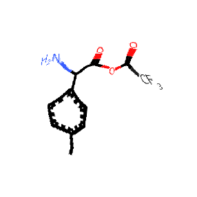 Cc1ccc(C(N)C(=O)OC(=O)C(F)(F)F)cc1